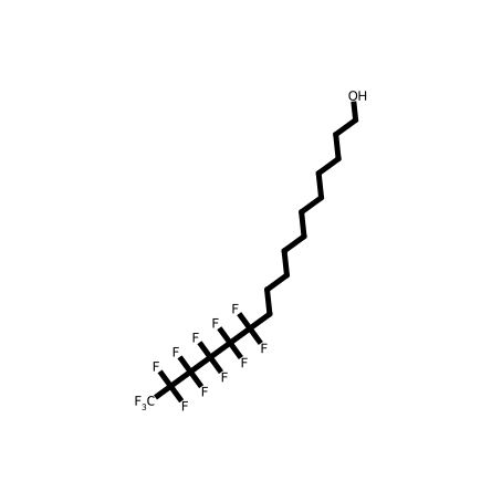 OCCCCCCCCCCCC(F)(F)C(F)(F)C(F)(F)C(F)(F)C(F)(F)C(F)(F)F